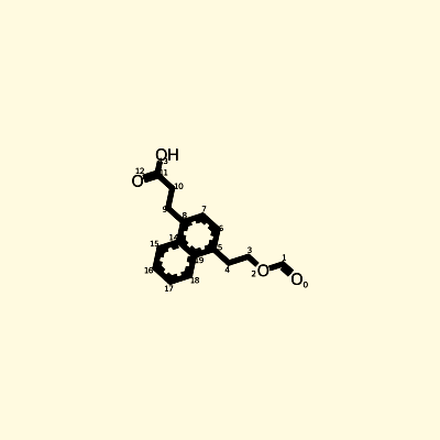 O=COCCc1ccc(CCC(=O)O)c2ccccc12